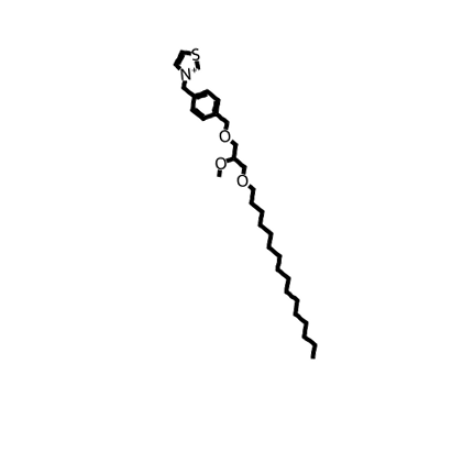 CCCCCCCCCCCCCCCCOCC(COCc1ccc(C[n+]2ccsc2)cc1)OC